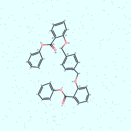 O=C(Oc1ccccc1)c1ccccc1OCc1ccc(COc2ccccc2C(=O)Oc2ccccc2)cc1